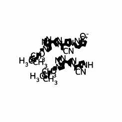 C[Si](C)(C)CCOCn1ccc2c(-c3cnn(C(CC#N)C4CCN(c5ccc6c(n5)[S+]([O-])CC6)C4)c3)ncnc21.C[Si](C)(C)CCOCn1ccc2c(-c3cnn(C(CC#N)C4CCNC4)c3)ncnc21